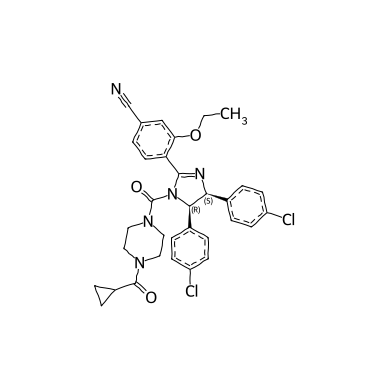 CCOc1cc(C#N)ccc1C1=N[C@@H](c2ccc(Cl)cc2)[C@@H](c2ccc(Cl)cc2)N1C(=O)N1CCN(C(=O)C2CC2)CC1